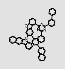 c1ccc(-c2cccc(-c3nc(-c4ccccc4)nc(-c4cccc5oc6cc(-n7c8ccccc8c8cc9ccccc9cc87)c(-c7ccc(-c8ccc9ccccc9c8)cc7)cc6c45)n3)c2)cc1